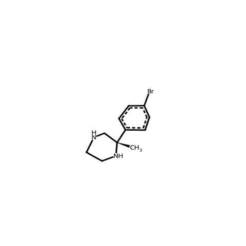 C[C@]1(c2ccc(Br)cc2)CNCCN1